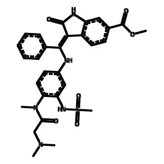 COC(=O)c1ccc2c(c1)NC(=O)/C2=C(/Nc1ccc(N(C)C(=O)CN(C)C)c(NS(C)(=O)=O)c1)c1ccccc1